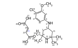 COc1cc(NC2CC(C)(C)NC(C)(C)C2)ccc1Cl.O=C(O)/C=C/C(=O)O